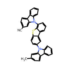 Cc1ccc2c3ccccc3n(-c3ccc4sc5c(-n6c7ccccc7c7ccc(C#N)cc76)cccc5c4c3)c2c1